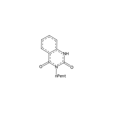 CCCCCn1c(=O)[nH]c2ccccc2c1=O